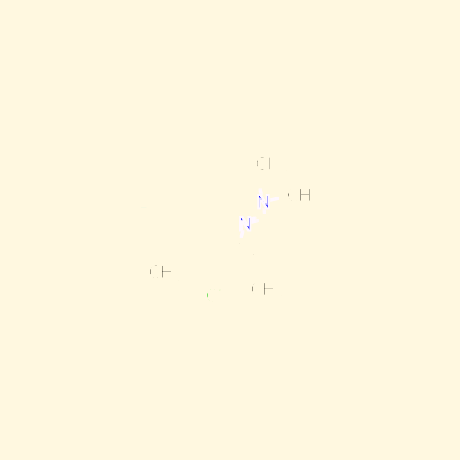 CCN(C)C=Nc1cc(C)c(Cl)c(Cc2ccc(F)cc2C)c1